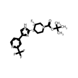 CC(C)(C)OC(=O)N1CC[C@H](c2nc(-c3ccnc(C(F)(F)F)c3)c[nH]2)[C@H](F)C1